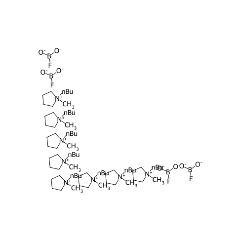 CCCC[N+]1(C)CCCC1.CCCC[N+]1(C)CCCC1.CCCC[N+]1(C)CCCC1.CCCC[N+]1(C)CCCC1.CCCC[N+]1(C)CCCC1.CCCC[N+]1(C)CCCC1.CCCC[N+]1(C)CCCC1.CCCC[N+]1(C)CCCC1.[O-]B([O-])F.[O-]B([O-])F.[O-]B([O-])F.[O-]B([O-])F